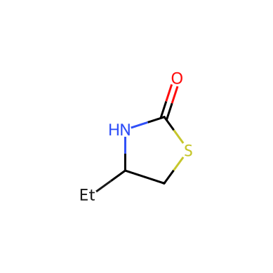 CCC1CSC(=O)N1